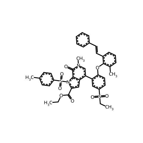 CCOC(=O)c1cc2c(-c3cc(S(=O)(=O)CC)ccc3Oc3c(C)cccc3C=Cc3ccccc3)cn(C)c(=O)c2n1S(=O)(=O)c1ccc(C)cc1